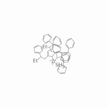 CCC(CC1=Cc2c(-c3ccccc3)ccc(-c3ccccc3)c2[CH]1[Zr]([CH3])([CH3])(=[SiH2])[CH]1C(CC(CC)c2ccccc2)=Cc2c(-c3ccccc3)ccc(-c3ccccc3)c21)c1ccccc1